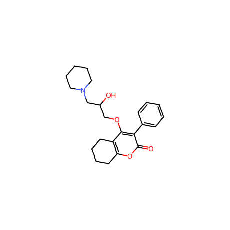 O=c1oc2c(c(OCC(O)CN3CCCCC3)c1-c1ccccc1)CCCC2